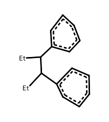 [CH2]CC(c1ccccc1)C(CC)c1ccccc1